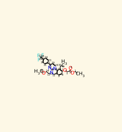 CCOC(=O)COc1ccc(CN(CCOC)c2nccc(-c3ccc(C(F)(F)F)cc3)n2)cc1CC